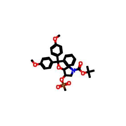 COc1ccc(C(OC2CN(C(=O)OC(C)(C)C)CC2OS(C)(=O)=O)(c2ccccc2)c2ccc(OC)cc2)cc1